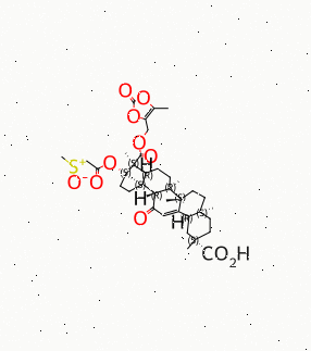 Cc1oc(=O)oc1COC(=O)[C@]1(C)[C@@H](OC(=O)C[S+](C)[O-])CC[C@@]2(C)[C@H]1CC[C@]1(C)[C@@H]2C(=O)C=C2[C@@H]3C[C@@](C)(C(=O)O)CC[C@]3(C)CC[C@]21C